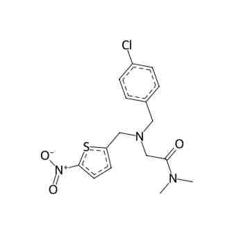 CN(C)C(=O)CN(Cc1ccc(Cl)cc1)Cc1ccc([N+](=O)[O-])s1